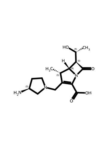 C[C@@H](O)[C@H]1C(=O)N2C(C(=O)O)=C(CN3CC[C@H](N)C3)[C@H](C)[C@H]12